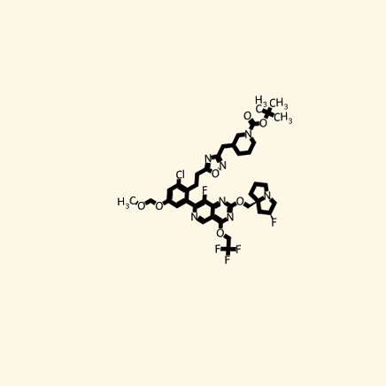 COCOc1cc(Cl)c(CCc2nc(CC3CCCN(C(=O)OC(C)(C)C)C3)no2)c(-c2ncc3c(OCC(F)(F)F)nc(OC[C@@]45CCCN4C[C@H](F)C5)nc3c2F)c1